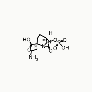 NCC[C@]1(C(=O)O)CC[C@@H]2CN1C(=O)N2OS(=O)(=O)O